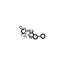 Cc1cc(=O)nc(Nc2nnc3ccc(-c4ccccc4)cc3c2C)[nH]1